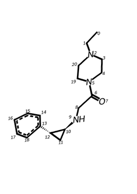 CCN1CCN(C(=O)CN[C@H]2C[C@@H]2c2ccccc2)CC1